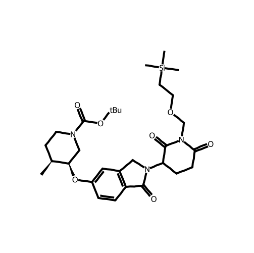 C[C@H]1CCN(C(=O)OC(C)(C)C)C[C@H]1Oc1ccc2c(c1)CN(C1CCC(=O)N(COCC[Si](C)(C)C)C1=O)C2=O